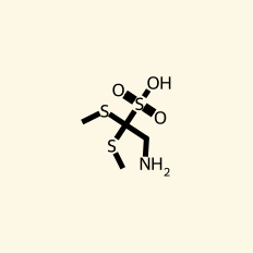 CSC(CN)(SC)S(=O)(=O)O